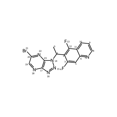 CC(c1c(F)cc2ncccc2c1F)n1nnc2ncc(Br)nc21